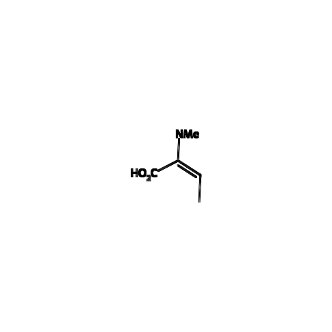 CC=C(NC)C(=O)O